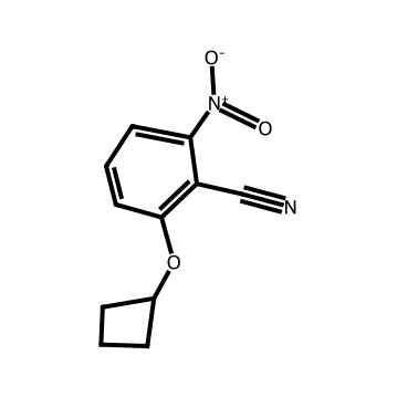 N#Cc1c(OC2CCC2)cccc1[N+](=O)[O-]